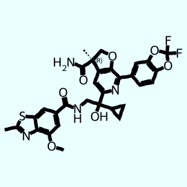 COc1cc(C(=O)NCC(O)(c2cc3c(c(-c4ccc5c(c4)OC(F)(F)O5)n2)OC[C@]3(C)C(N)=O)C2CC2)cc2sc(C)nc12